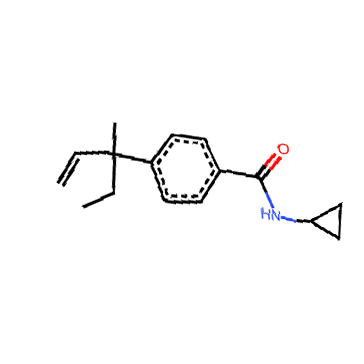 C=CC(C)(CC)c1ccc(C(=O)NC2CC2)cc1